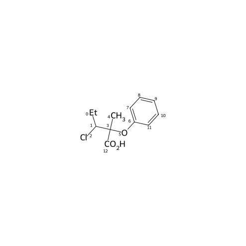 CCC(Cl)C(C)(Oc1ccccc1)C(=O)O